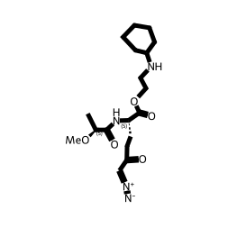 CO[C@@H](C)C(=O)N[C@@H](CCC(=O)C=[N+]=[N-])C(=O)OCCNC1CCCCC1